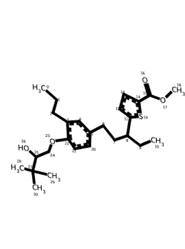 CCCc1cc(CCC(CC)c2ccc(C(=O)OC)s2)ccc1OCC(O)C(C)(C)C